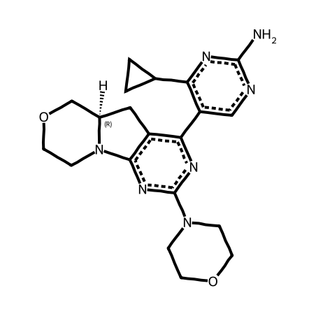 Nc1ncc(-c2nc(N3CCOCC3)nc3c2C[C@@H]2COCCN32)c(C2CC2)n1